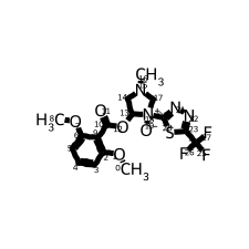 COc1cccc(OC)c1C(=O)OC1CN(C)C[N+]1([O-])c1nnc(C(F)(F)F)s1